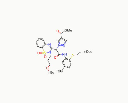 CCCCCCCCCCCCSc1ccc(C(C)(C)C)cc1NC(=O)C(C1=Nc2ccccc2S(=O)(=O)N1CCCOCCCC)n1cc(C(=O)OC)cn1